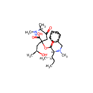 CC[C@H](C)[C@@H](C(=O)OC(CC(=O)[C@H](C)NC)(CC(C)O)C(=O)O)N(C)Cc1ccccc1